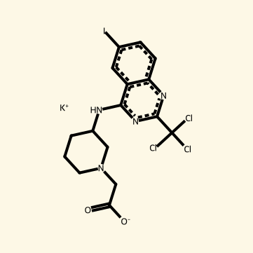 O=C([O-])CN1CCCC(Nc2nc(C(Cl)(Cl)Cl)nc3ccc(I)cc23)C1.[K+]